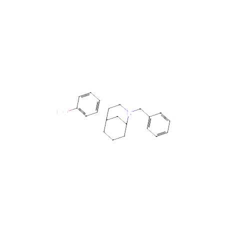 Oc1cccc([C@@]23CCCC(C2)N(Cc2ccccc2)CC3)c1